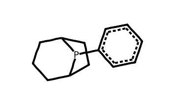 c1ccc(P2C3CCCC2CC3)cc1